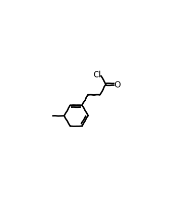 CC1C=C(CCC(=O)Cl)C=CC1